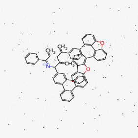 C=C/C(=N\C(C(=C)CC(=C)c1cccc(-c2cccc3oc4cccc(-c5cccc6c5oc5ccccc56)c4c23)c1)c1ccc2c3ccccc3c3ccccc3c2c1)c1ccccc1